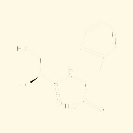 CC[C@H](C)C(=O)N[C@H](Cc1ccccc1)C(C)=O